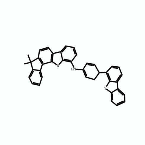 CC1(C)c2ccccc2-c2c1ccc1c2sc2c(NC3=CCC(c4cccc5c4sc4ccccc45)C=C3)cccc21